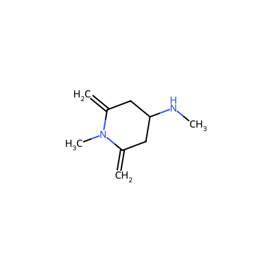 C=C1CC(NC)CC(=C)N1C